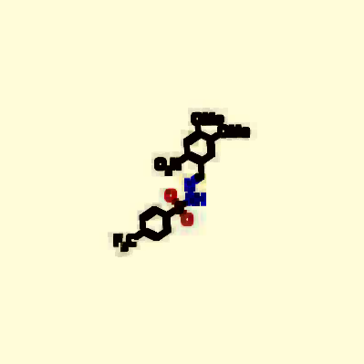 COc1cc(C=NNS(=O)(=O)c2ccc(C(F)(F)F)cc2)c([N+](=O)[O-])cc1OC